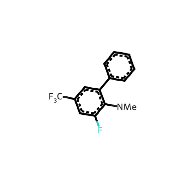 CNc1c(F)cc(C(F)(F)F)cc1-c1ccccc1